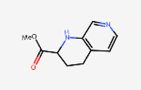 COC(=O)C1CCc2ccncc2N1